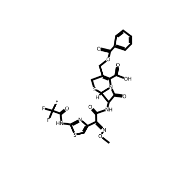 CON=C(C(=O)NC1C(=O)N2C(C(=O)O)=C(COC(=O)c3ccccc3)CS[C@@H]12)c1csc(NC(=O)C(F)(F)F)n1